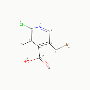 Cc1c(Cl)ncc(CBr)c1C(=O)O